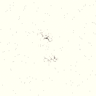 C=C(CCCCCCc1cccc(Nc2ncnc3[nH]ccc23)c1)CCc1cccc2c(=C)n(C3CCC(=C)NC3=C)c(=C)c12